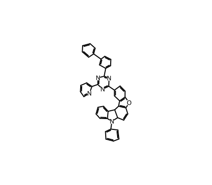 C1=CC2C(c3ccccc3N2c2ccccc2)c2c1oc1ccc(-c3nc(-c4cccc(-c5ccccc5)c4)nc(-c4ccccn4)n3)cc21